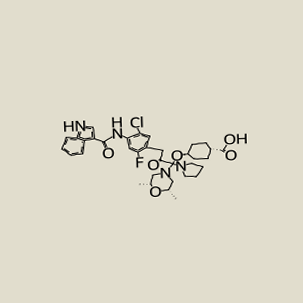 C[C@@H]1CN(C(O[C@H]2CC[C@H](C(=O)O)CC2)(C(=O)Cc2cc(Cl)c(NC(=O)c3c[nH]c4ccccc34)cc2F)N2CCCC2)C[C@H](C)O1